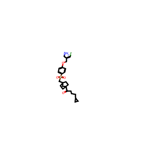 NC/C(=C\F)COc1ccc(S(=O)(=O)CC23CCC(C(=O)CCCC4CC4)(CC2)C3)cc1